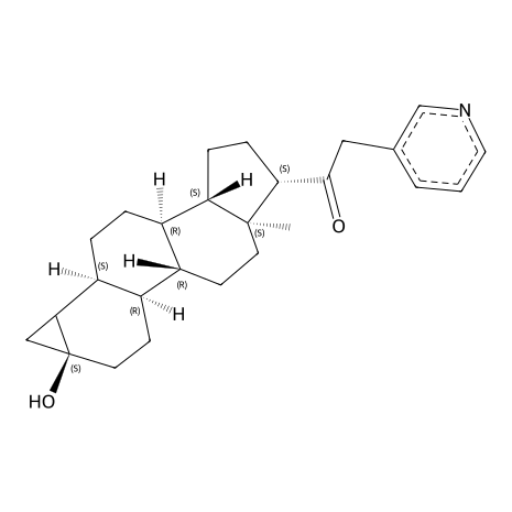 C[C@]12CC[C@@H]3[C@H]4CC[C@]5(O)CC5[C@H]4CC[C@H]3[C@@H]1CC[C@@H]2C(=O)Cc1cccnc1